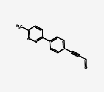 Cc1ccc(-c2ccc(C#CC=O)cc2)nn1